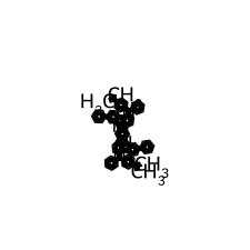 CC(C)c1ccc(N(c2ccccc2)c2ccc3c4cc5c(cc4n4c6cc(-c7ccccc7)ccc6c2c34)c2ccc(N(c3ccccc3)c3ccc(C(C)C)cc3)c3c4ccc(-c6ccccc6)cc4n5c23)cc1